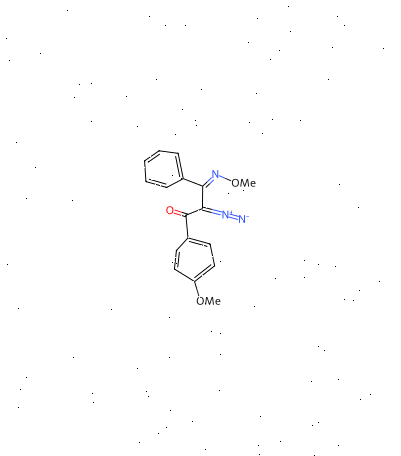 CO/N=C(\C(=[N+]=[N-])C(=O)c1ccc(OC)cc1)c1ccccc1